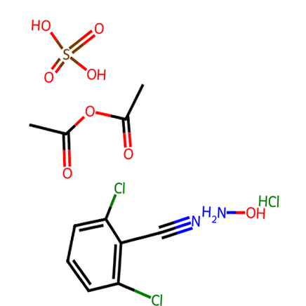 CC(=O)OC(C)=O.Cl.N#Cc1c(Cl)cccc1Cl.NO.O=S(=O)(O)O